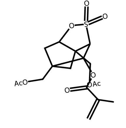 C=C(C)C(=O)OC1C2C3(COC(C)=O)CC1(COC(C)=O)CC3OS2(=O)=O